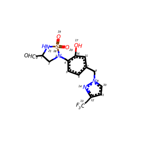 O=CC1CN(c2ccc(Cn3ccc(C(F)(F)F)n3)cc2O)S(=O)(=O)N1